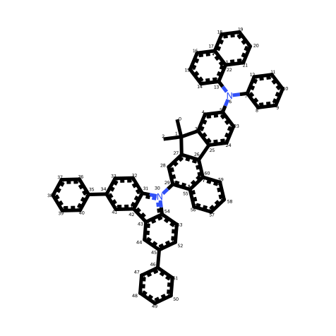 CC1(C)c2cc(N(c3ccccc3)c3cccc4ccccc34)ccc2-c2c1cc(-n1c3ccc(-c4ccccc4)cc3c3cc(-c4ccccc4)ccc31)c1ccccc21